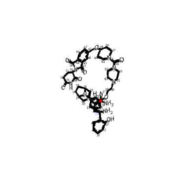 NC(N)=C(/C=C(\N)c1ccccc1O)N1CC2CCC(C1)N2c1cccc(OCCN2CCN(C(=O)N3CCC(Oc4ccc5c(c4)C(=O)N(C4CCC(=O)NC4=O)C5=O)CC3)CC2)c1